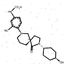 N#Cc1cc(NC(=O)O)ccc1N1CCC[C@]2(CCN([C@H]3CC[C@H](O)CC3)C2=O)C1